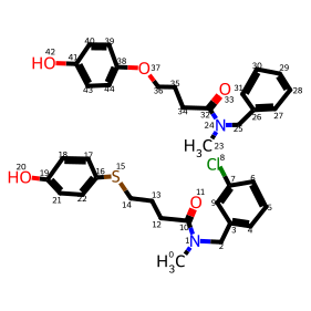 CN(Cc1cccc(Cl)c1)C(=O)CCCSc1ccc(O)cc1.CN(Cc1ccccc1)C(=O)CCCOc1ccc(O)cc1